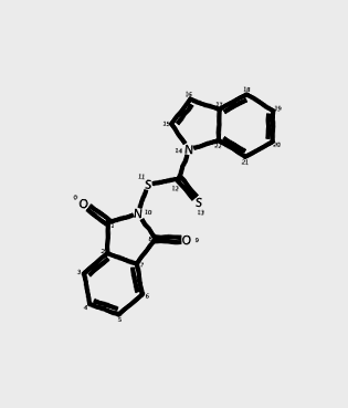 O=C1c2ccccc2C(=O)N1SC(=S)n1ccc2ccccc21